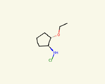 CCO[C@H]1CCC[C@@H]1NCl